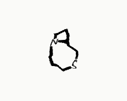 C1CSCC2CCN2C1